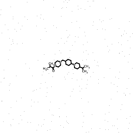 CC(C)C(=O)N1CCN(CC2CCC(N3CCC(C(C)C)CC3)CC2)CC1